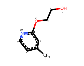 OCCOc1cc(C(F)(F)F)ccn1